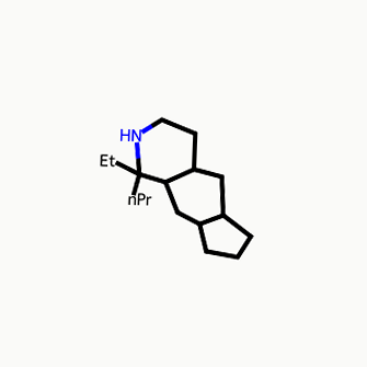 CCCC1(CC)NCCC2CC3CCCC3CC21